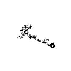 CC(=O)OC[C@H]1O[C@@H](OCC(=O)NCCOCCOC[C@H](O)COCc2ccccc2)[C@H](CC(N)=O)[C@@H](OC(C)=O)[C@H]1OC(C)=O